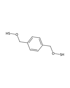 SOCc1ccc(COS)cc1